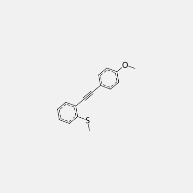 COc1ccc(C#Cc2ccccc2SC)cc1